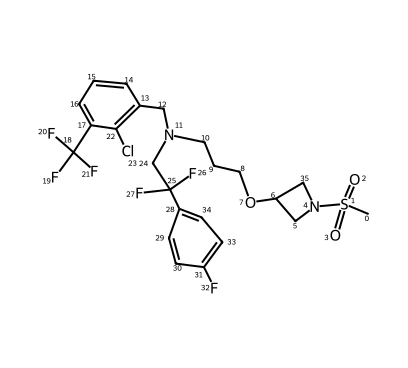 CS(=O)(=O)N1CC(OCCCN(Cc2cccc(C(F)(F)F)c2Cl)CC(F)(F)c2ccc(F)cc2)C1